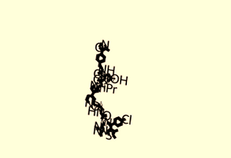 Cc1ncoc1-c1ccc(CNC(=O)[C@@H]2C[C@@H](O)CN2C(=O)[C@@H](C(C)C)n2cc(-c3ccnc(O[C@H](C)CNC(=O)C[C@@H]4N=C(c5ccc(Cl)cc5)c5c(sc(C)c5C)-n5c(C)nnc54)c3)cn2)cc1